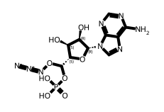 [N-]=[N+]=NOC(OP(=O)(O)O)[C@H]1O[C@@H](n2cnc3c(N)ncnc32)[C@H](O)[C@@H]1O